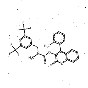 Cc1ccccc1-c1c(OC(=O)N(C)Cc2cc(C(F)(F)F)cc(C(F)(F)F)c2)c(=O)oc2ccccc12